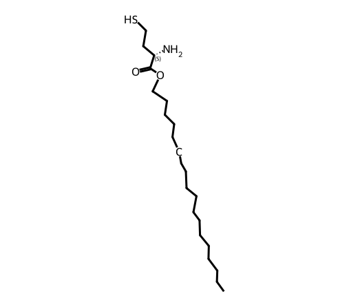 CCCCCCCCCCCCCCCCCCOC(=O)[C@@H](N)CCS